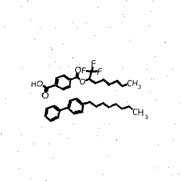 CCCCCCC(OC(=O)c1ccc(C(=O)O)cc1)C(F)(F)F.CCCCCCCCc1ccc(-c2ccccc2)cc1